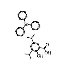 CC(C)c1cc(C(=O)O)c(O)c(C(C)C)c1.c1cc[c]([Sn]([c]2ccccc2)[c]2ccccc2)cc1